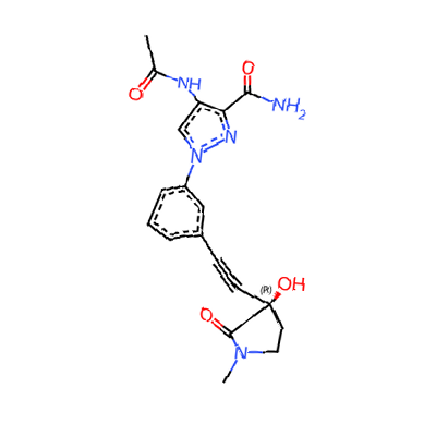 CC(=O)Nc1cn(-c2cccc(C#C[C@]3(O)CCN(C)C3=O)c2)nc1C(N)=O